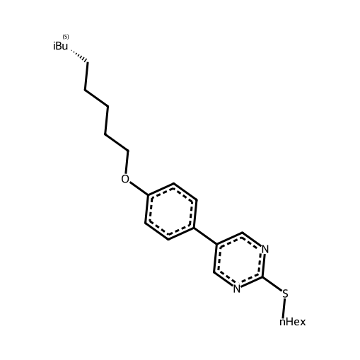 CCCCCCSc1ncc(-c2ccc(OCCCCC[C@@H](C)CC)cc2)cn1